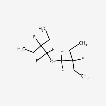 CCC(F)(CC)C(F)(F)OC(F)(F)C(F)(CC)CC